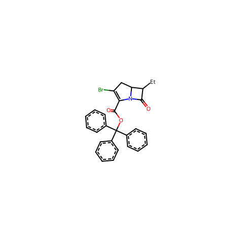 CCC1C(=O)N2C(C(=O)OC(c3ccccc3)(c3ccccc3)c3ccccc3)=C(Br)CC12